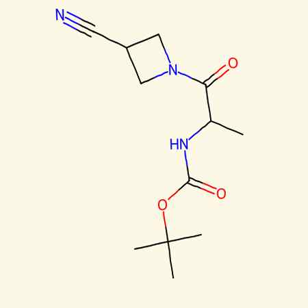 CC(NC(=O)OC(C)(C)C)C(=O)N1CC(C#N)C1